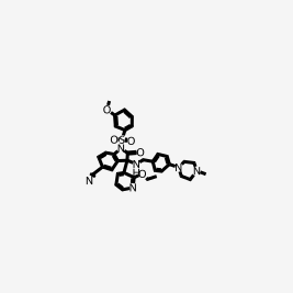 CCOc1ncccc1C1(NCc2ccc(N3CCN(C)CC3)cc2)C(=O)N(S(=O)(=O)c2cccc(OC)c2)c2ccc(C#N)cc21